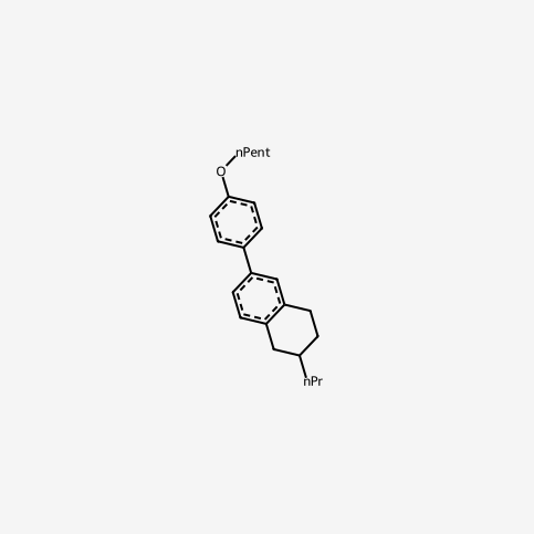 CCCCCOc1ccc(-c2ccc3c(c2)CCC(CCC)C3)cc1